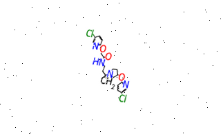 C=C(CCNC(=O)COc1ccc(Cl)cn1)N1CCC(Oc2ccc(Cl)cn2)C1